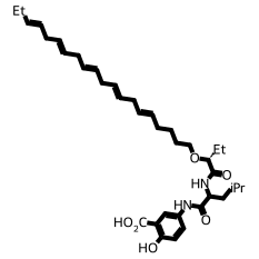 CCC=CCC=CCC=CCC=CCC=CCCCCO[C@H](CC)C(=O)NC(CC(C)C)C(=O)Nc1ccc(O)c(C(=O)O)c1